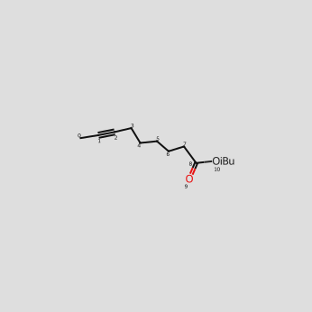 CC#CCCCCCC(=O)OCC(C)C